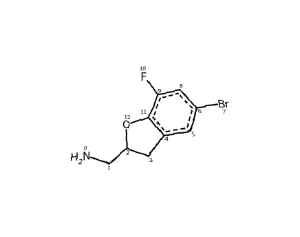 NCC1Cc2cc(Br)cc(F)c2O1